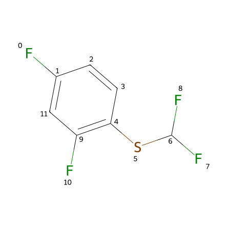 Fc1ccc(SC(F)F)c(F)c1